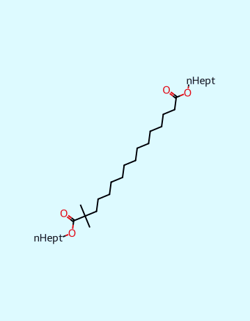 CCCCCCCOC(=O)CCCCCCCCCCCCCC(C)(C)C(=O)OCCCCCCC